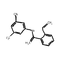 C=Cc1ccccc1C(=C)Nc1cc(C#N)cc(C(F)(F)F)c1